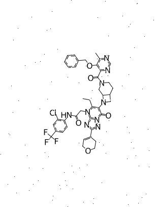 CCc1c(N2CC3CCN(C(=O)c4ncnc(C)c4OCc4ccccc4)CC32)c(=O)n2nc(C3=CCOCC3)nc2n1CC(=O)Nc1ccc(C(F)(F)F)cc1Cl